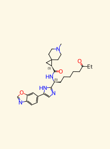 CCC(=O)CCCCC[C@H](NC(=O)[C@H]1CC12CCN(C)CC2)c1ncc(-c2ccc3ncoc3c2)[nH]1